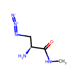 CNC(=O)[C@@H](N)CN=[N+]=[N-]